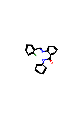 O=C(Nc1ccccc1)c1ccccc1N=Cc1ccccc1F